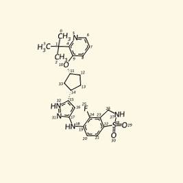 CC(C)(C)c1ncccc1O[C@@H]1CC[C@H](c2cc(Nc3ccc4c(c3F)CNS4(=O)=O)n[nH]2)C1